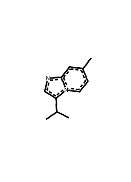 Cc1ccn2c(C(C)C)cnc2c1